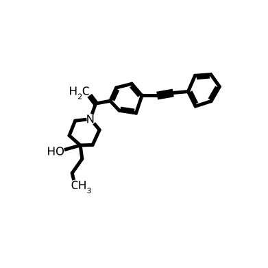 C=C(c1ccc(C#Cc2ccccc2)cc1)N1CCC(O)(CCC)CC1